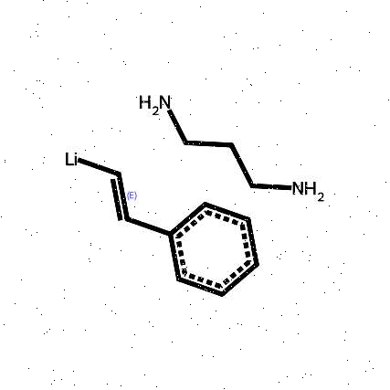 NCCCN.[Li]/[CH]=C/c1ccccc1